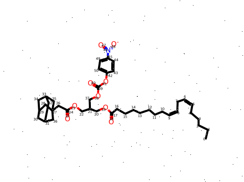 CCCCC/C=C\C/C=C\CCCCCCCC(=O)OCC(COC(=O)CC12CC3CC(CC(C3)C1)C2)COC(=O)Oc1ccc([N+](=O)[O-])cc1